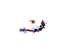 N[C@@H](Cc1cscn1)C(=O)NCCOCCOCCNC(=O)c1ccc(NC(=O)c2ccc(CN(C(=O)c3ccc4c(c3)OCC(=O)N4)C3CC3)cc2)cc1.O=C(O)C(F)(F)F